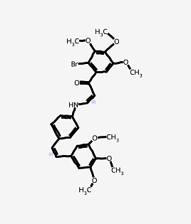 COc1cc(/C=C\c2ccc(N/C=C\C(=O)c3cc(OC)c(OC)c(OC)c3Br)cc2)cc(OC)c1OC